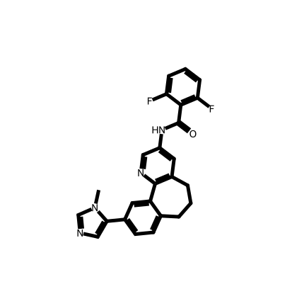 Cn1cncc1-c1ccc2c(c1)-c1ncc(NC(=O)c3c(F)cccc3F)cc1CCC2